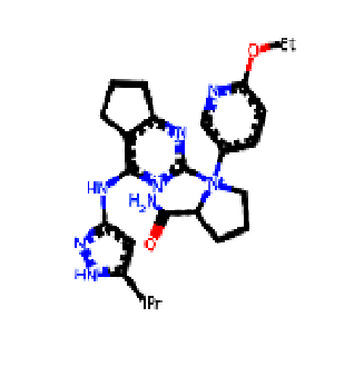 CCOc1ccc([N+]2(c3nc4c(c(Nc5cc(C(C)C)[nH]n5)n3)CCC4)CCCC2C(N)=O)cn1